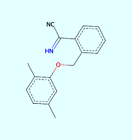 Cc1ccc(C)c(OCc2ccccc2C(=N)C#N)c1